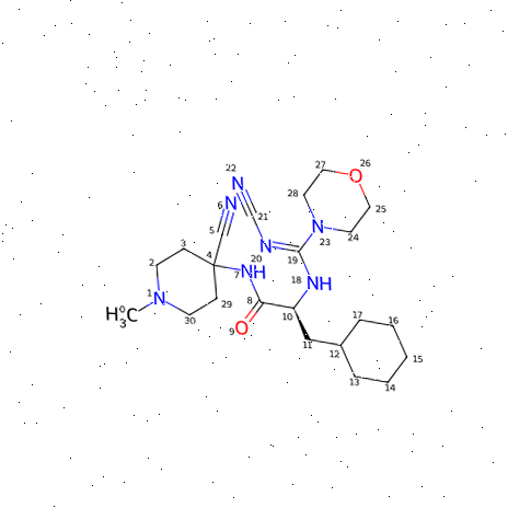 CN1CCC(C#N)(NC(=O)[C@H](CC2CCCCC2)N/C(=N/C#N)N2CCOCC2)CC1